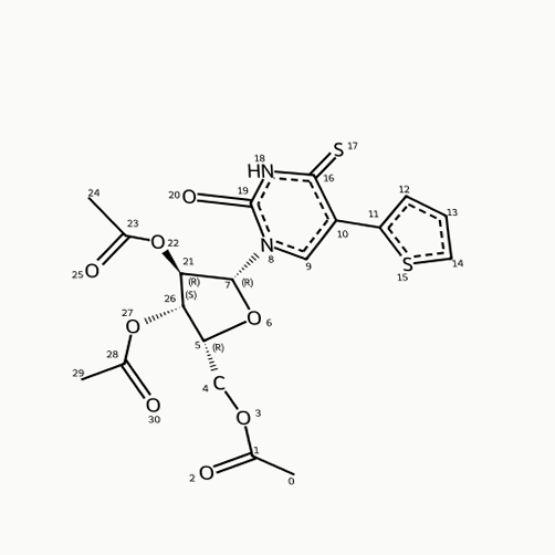 CC(=O)OC[C@H]1O[C@@H](n2cc(-c3cccs3)c(=S)[nH]c2=O)[C@H](OC(C)=O)[C@H]1OC(C)=O